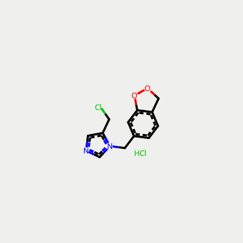 Cl.ClCc1cncn1Cc1ccc2c(c1)OOC2